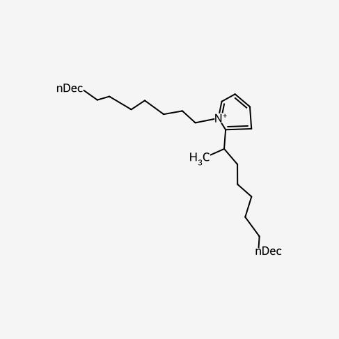 CCCCCCCCCCCCCCCCC[n+]1ccccc1C(C)CCCCCCCCCCCCCCC